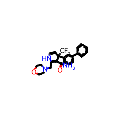 NC(=O)C1=C(CN2CCOCC2)NC=CC1(c1cccc(-c2ccccc2)c1)C(F)(F)F